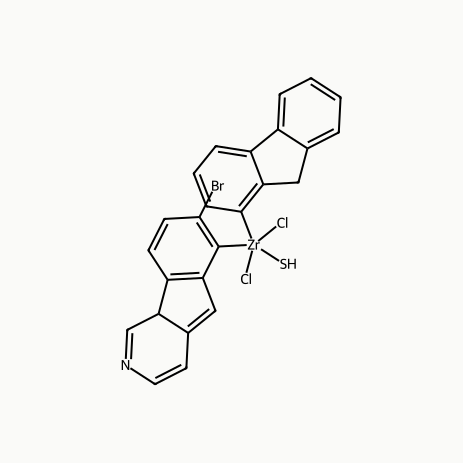 [SH][Zr]([Cl])([Cl])([c]1cccc2c1Cc1ccccc1-2)[c]1c(Br)ccc2c1C=C1C=CN=CC12